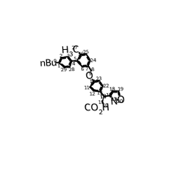 CCCCc1ccc(-c2cc(COc3ccc([C@H](CC(=O)O)c4ccon4)cc3)ccc2C)cc1